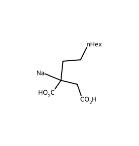 CCCCCCCC[C]([Na])(CC(=O)O)C(=O)O